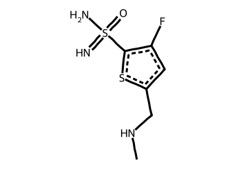 CNCc1cc(F)c(S(=N)(N)=O)s1